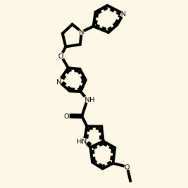 COc1ccc2[nH]c(C(=O)Nc3ccc(OC4CCN(c5ccncc5)C4)nc3)cc2c1